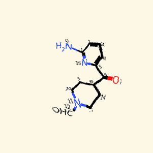 Nc1cccc(C(=O)C2CCN(C=O)CC2)n1